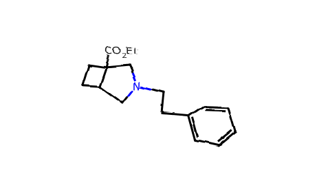 CCOC(=O)C12CCC1CN(CCc1ccccc1)C2